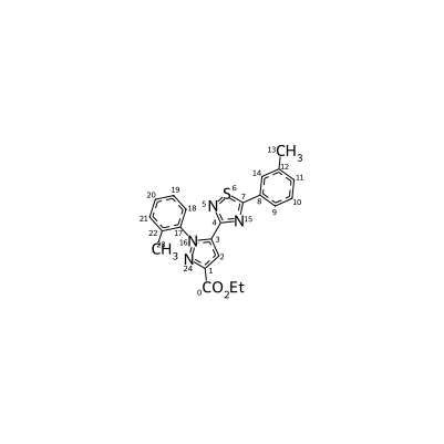 CCOC(=O)c1cc(-c2nsc(-c3cccc(C)c3)n2)n(-c2ccccc2C)n1